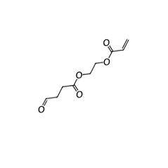 C=CC(=O)OCCOC(=O)CCC=O